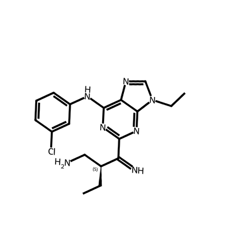 CC[C@@H](CN)C(=N)c1nc(Nc2cccc(Cl)c2)c2ncn(CC)c2n1